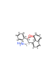 NC[C@@H](c1cccc2ccccc12)[C@H](O)c1ccccc1